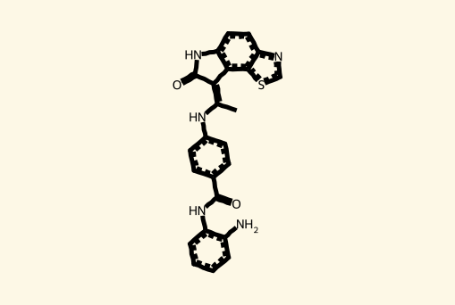 C/C(Nc1ccc(C(=O)Nc2ccccc2N)cc1)=C1/C(=O)Nc2ccc3ncsc3c21